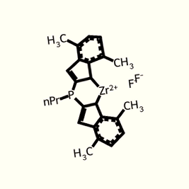 CCCP1C2=Cc3c(C)ccc(C)c3[CH]2[Zr+2][CH]2C1=Cc1c(C)ccc(C)c12.[F-].[F-]